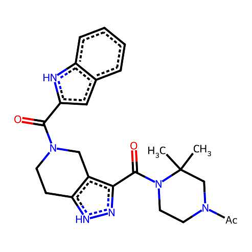 CC(=O)N1CCN(C(=O)c2n[nH]c3c2CN(C(=O)c2cc4ccccc4[nH]2)CC3)C(C)(C)C1